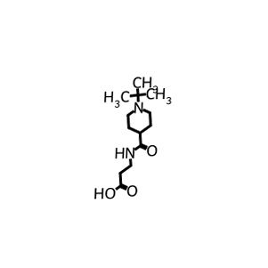 CC(C)(C)N1CCC(C(=O)NCCC(=O)O)CC1